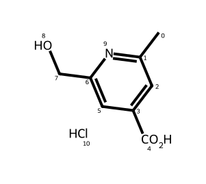 Cc1cc(C(=O)O)cc(CO)n1.Cl